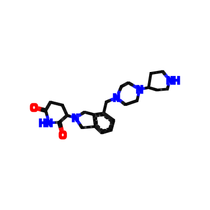 O=C1CCC(N2Cc3cccc(CN4CCN(C5CCNCC5)CC4)c3C2)C(=O)N1